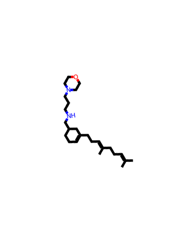 CC(C)=CCC/C(C)=C/CCC1=CCCC(CNCCCN2CCOCC2)C1